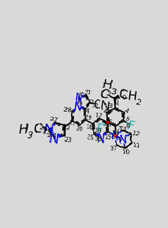 C=C(C)c1cc(F)c(CN2C3CC2CN(c2ccc(-c4cc(-c5cnn(C)c5)cn5ncc(C#N)c45)cn2)C3)c(F)c1